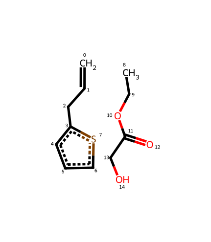 C=CCc1cccs1.CCOC(=O)CO